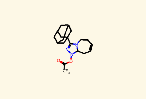 O=C(ON1N=C(C23CC4CC(CC(C4)C2)C3)N2CCC=CCC12)C(F)(F)F